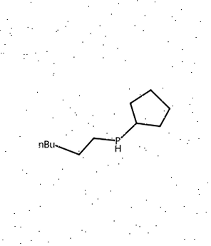 CCCCCCPC1CCCC1